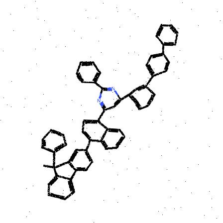 CC1(c2ccccc2)c2ccccc2-c2ccc(-c3ccc(-c4cc(-c5cccc(-c6ccc(-c7ccccc7)cc6)c5)nc(-c5ccccc5)n4)c4ccccc34)cc21